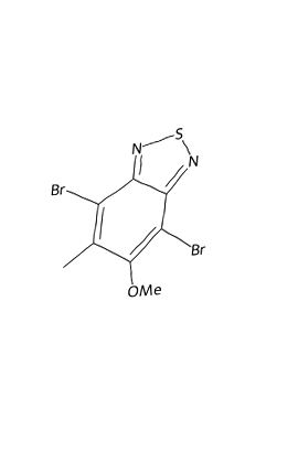 COc1c(C)c(Br)c2nsnc2c1Br